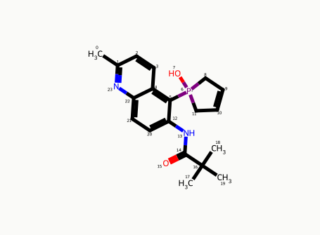 Cc1ccc2c([P]3(O)CC=CC3)c(NC(=O)C(C)(C)C)ccc2n1